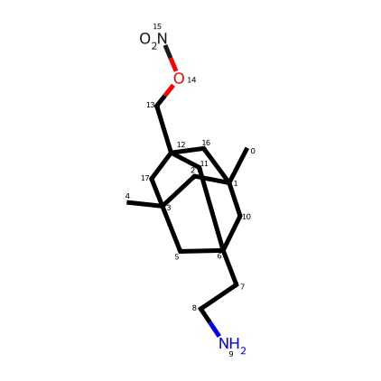 CC12CC3(C)CC(CCN)(C1)CC(CO[N+](=O)[O-])(C2)C3